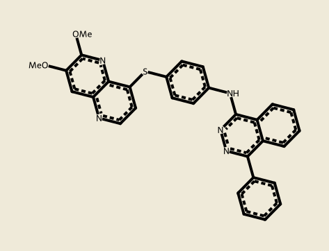 COc1cc2nccc(Sc3ccc(Nc4nnc(-c5ccccc5)c5ccccc45)cc3)c2nc1OC